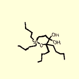 CCCCC1(CCCC)[O][Sn]([CH2]CCC)([CH2]CCC)[CH2]CC1(O)O